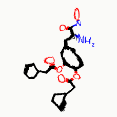 N[C@@H](Cc1ccc(OC(=O)CC2CCCC2)c(OC(=O)CC2CCCC2)c1)C(=O)N=O